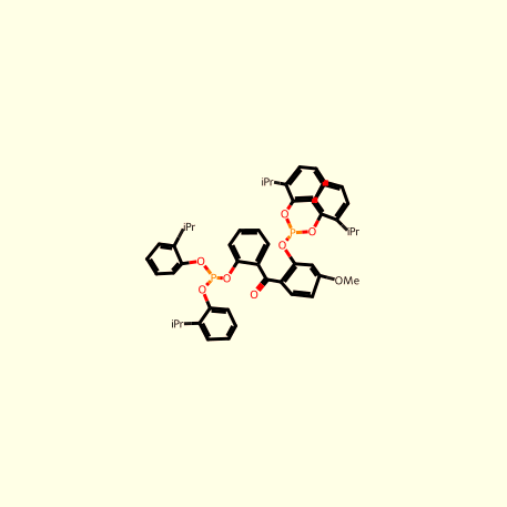 COc1ccc(C(=O)c2ccccc2OP(Oc2ccccc2C(C)C)Oc2ccccc2C(C)C)c(OP(Oc2ccccc2C(C)C)Oc2ccccc2C(C)C)c1